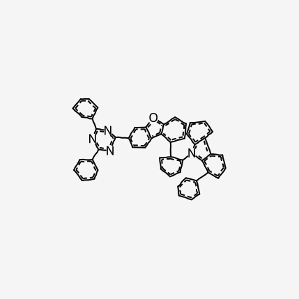 c1ccc(-c2nc(-c3ccccc3)nc(-c3ccc4c(c3)oc3cccc(-c5ccccc5-n5c6ccccc6c6cccc(-c7ccccc7)c65)c34)n2)cc1